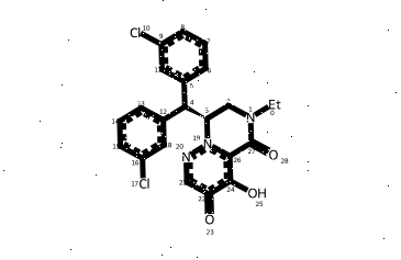 CCN1C[C@H](C(c2cccc(Cl)c2)c2cccc(Cl)c2)n2ncc(=O)c(O)c2C1=O